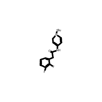 CC(C)(C)N1C=CC(NC(=O)Cc2cccc(F)c2F)=CC1